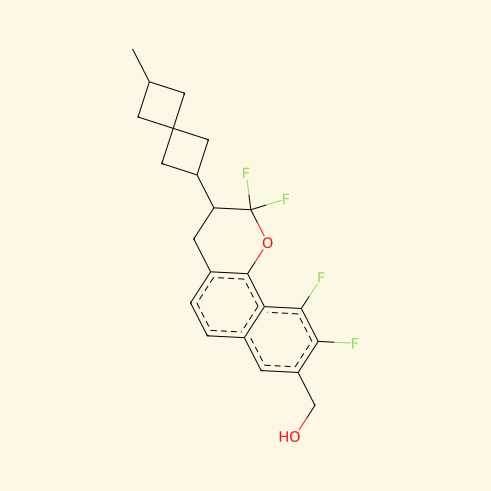 CC1CC2(C1)CC(C1Cc3ccc4cc(CO)c(F)c(F)c4c3OC1(F)F)C2